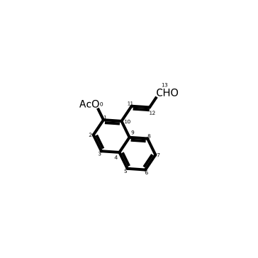 CC(=O)Oc1ccc2ccccc2c1C=CC=O